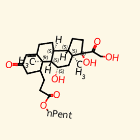 CCCCCOC(=O)CCC1CC(=O)C=C2CC[C@@H]3[C@H]([C@@H](O)C[C@@]4(C)[C@H]3CC[C@]4(O)C(=O)CO)[C@]21C